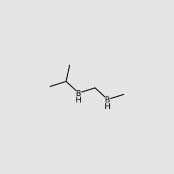 CBCBC(C)C